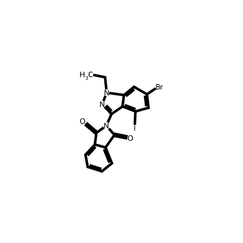 CCn1nc(N2C(=O)c3ccccc3C2=O)c2c(I)cc(Br)cc21